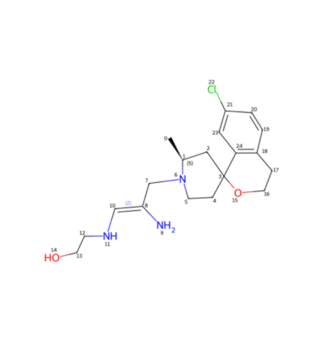 C[C@H]1CC2(CCN1C/C(N)=C/NCCO)OCCc1ccc(Cl)cc12